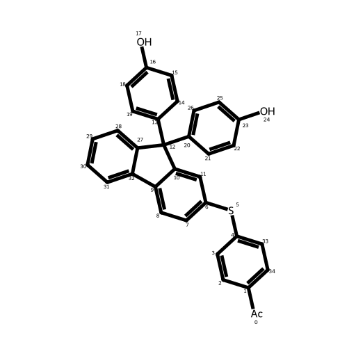 CC(=O)c1ccc(Sc2ccc3c(c2)C(c2ccc(O)cc2)(c2ccc(O)cc2)c2ccccc2-3)cc1